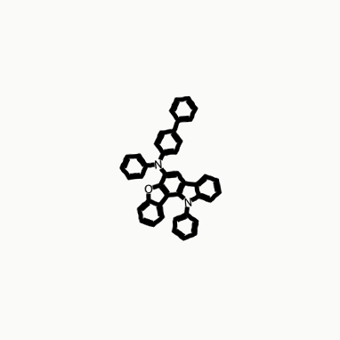 c1ccc(-c2ccc(N(c3ccccc3)c3cc4c5ccccc5n(-c5ccccc5)c4c4c3oc3ccccc34)cc2)cc1